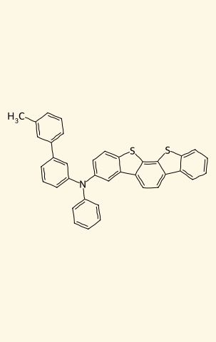 Cc1cccc(-c2cccc(N(c3ccccc3)c3ccc4sc5c(ccc6c7ccccc7sc65)c4c3)c2)c1